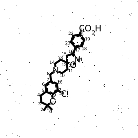 CC1(C)CCc2cc(CN3CCC4(CC3)CC(c3ccc(C(=O)O)cc3)=NO4)cc(Cl)c2O1